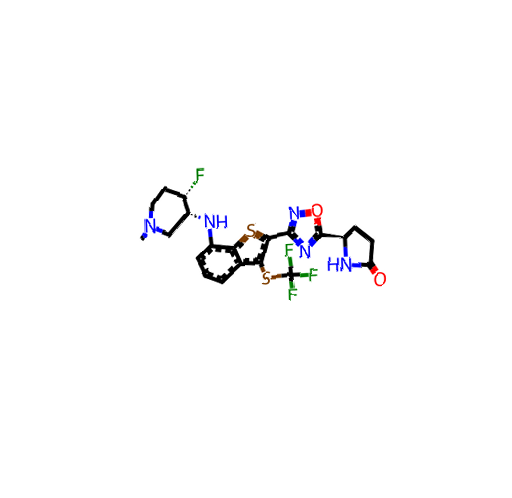 CN1CC[C@H](F)[C@H](Nc2cccc3c(SC(F)(F)F)c(-c4noc([C@H]5CCC(=O)N5)n4)sc23)C1